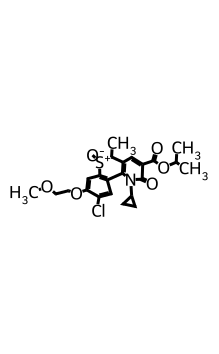 COCCOc1cc2c(cc1Cl)-c1c(cc(C(=O)OC(C)C)c(=O)n1C1CC1)C(C)[S+]2[O-]